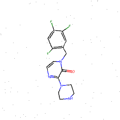 O=c1c(N2CCNCC2)nccn1Cc1cc(F)c(F)cc1F